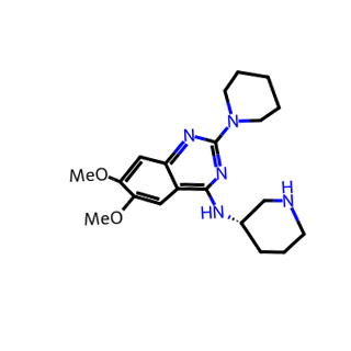 COc1cc2nc(N3CCCCC3)nc(N[C@H]3CCCNC3)c2cc1OC